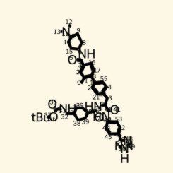 Cc1cc(C(=O)NC2CCC(N(C)C)CC2)ccc1-c1ccc(CC(NC(=O)C2CCC(CNC(=O)OC(C)(C)C)CC2)C(=O)Nc2ccc(-c3nn[nH]n3)cc2)cc1